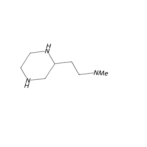 CNCCC1CNCCN1